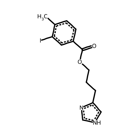 Cc1ccc(C(=O)OCCCc2c[nH]cn2)cc1I